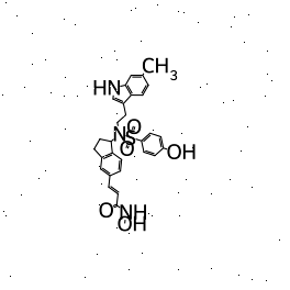 Cc1ccc2c(CCN(C3CCc4cc(/C=C/C(=O)NO)ccc43)S(=O)(=O)c3ccc(O)cc3)c[nH]c2c1